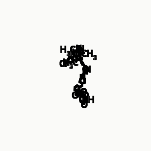 Cc1c(C#Cc2cnn(CCN3CCC(Cc4cccc5c4C(=O)N(C4CCC(=O)NC4=O)C5=O)CC3)c2)sc2c1C(c1ccc(Cl)cc1)=N[C@@H](C)c1nnc(C)n1-2